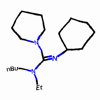 CCCCN(CC)C(=NC1CCCCC1)N1CCCCC1